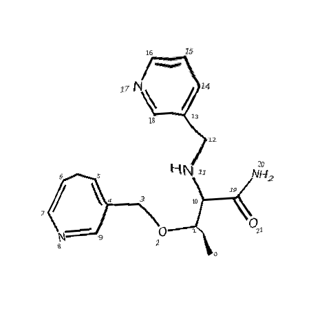 C[C@@H](OCc1cccnc1)C(NCc1cccnc1)C(N)=O